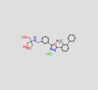 Cc1c(-c2ccccc2)cccc1-c1nnc(-c2cccc(CNC(CO)(CO)CO)c2)o1.Cl